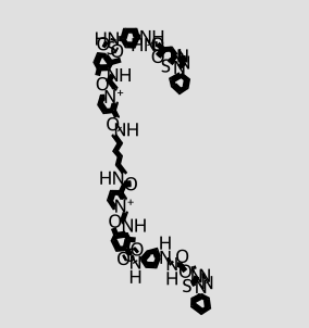 Cc1ccc(S(=O)(=O)Nc2ccc(NNOC(=O)Cn3nnn(-c4ccccc4)c3=S)cc2)c(C)c1NC(=O)C[n+]1cccc(CONCCCCCCNC(=O)c2ccc[n+](CC(=O)Nc3c(C)ccc(S(=O)(=O)Nc4ccc(NNC(=O)OCn5nnn(-c6ccccc6)c5=S)cc4)c3C)c2)c1